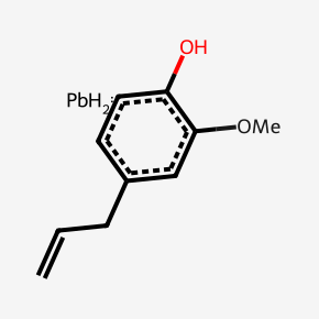 C=CCc1ccc(O)c(OC)c1.[PbH2]